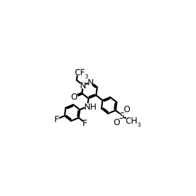 CS(=O)(=O)c1ccc(-c2cnn(CC(F)(F)F)c(=O)c2Nc2ccc(F)cc2F)cc1